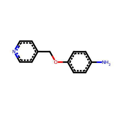 Nc1ccc(OCc2ccncc2)cc1